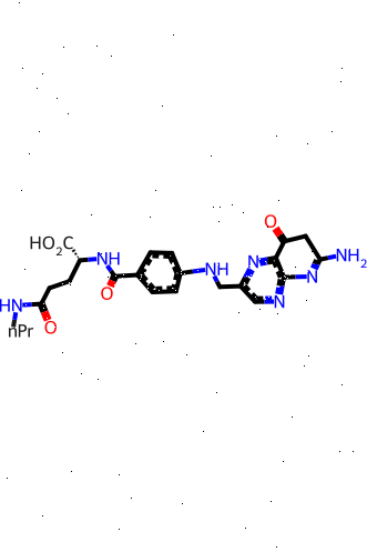 CCCNC(=O)CC[C@@H](NC(=O)c1ccc(NCc2cnc3c(n2)C(=O)CC(N)=N3)cc1)C(=O)O